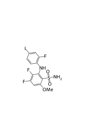 COc1cc(F)c(F)c(Nc2ccc(I)cc2F)c1S(N)(=O)=O